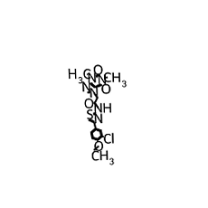 CCOc1ccc(-c2csc(NC(=O)Cn3cnc4c3c(=O)n(C)c(=O)n4C)n2)cc1Cl